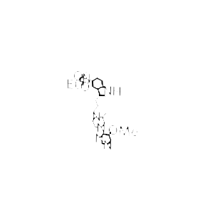 CCS(=O)(=O)N(C)c1ccc2[nH]cc(CCCN3CCN(c4ncncc4OC)CC3C)c2c1